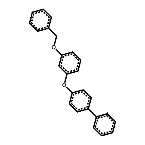 [c]1ccccc1-c1ccc(Oc2cccc(OCc3ccccc3)c2)cc1